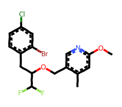 COc1cc(C)c(COC(Cc2ccc(Cl)cc2Br)C(F)F)cn1